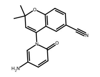 CC1(C)C=C(n2cc(N)ccc2=O)c2cc(C#N)ccc2O1